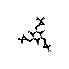 O=c1n(CC2CC2(Cl)Cl)c(=O)n(CC2CC2(Cl)Cl)c(=O)n1CC1CC1(Cl)Cl